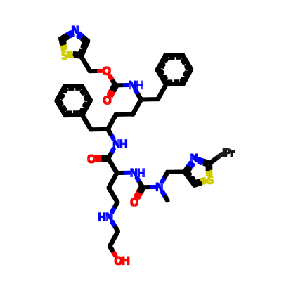 CC(C)c1nc(CN(C)C(=O)NC(CCNCCO)C(=O)NC(CCC(Cc2ccccc2)NC(=O)OCc2cncs2)Cc2ccccc2)cs1